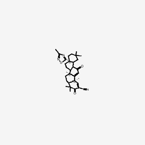 Cc1noc([C@@]23CCC4C(C(=O)C=C5[C@@]6(C)C=C(C#N)C(=O)C(C)(C)C6CC[C@]54C)C2CC(C)(C)CC3)n1